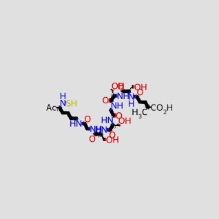 CC(=O)[C@H](CCCCNC(=O)CNC(=O)[C@H](CO)NC(=O)[C@H](CO)NC(=O)CNC(=O)[C@H](CO)NC(=O)[C@H](CO)NC(=O)CC[C@H](C)C(=O)O)NS